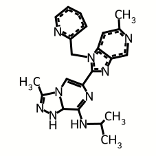 CC1=NNC2C(NC(C)C)=NC(c3nc4cnc(C)cc4n3Cc3ccccn3)=CN12